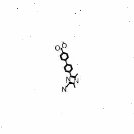 COC(=O)c1ccc(-c2ccc(-c3nc(C#N)c(C)nc3C)cc2)cc1